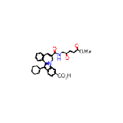 COC(=O)CCC(=O)CNC(=O)C1=Cc2ccccc2-c2c(C3CCCCC3)c3ccc(C(=O)O)cc3n2C1